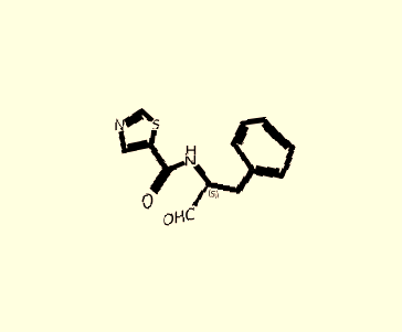 O=C[C@H](Cc1ccccc1)NC(=O)c1cncs1